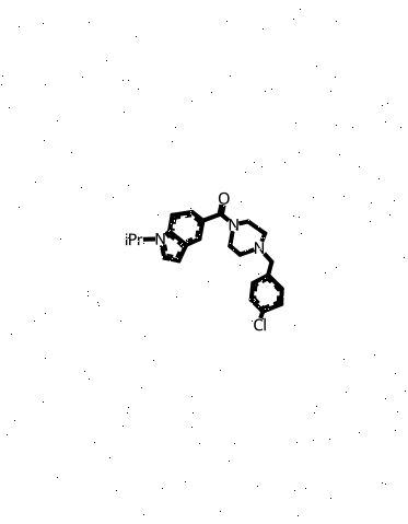 CC(C)n1ccc2cc(C(=O)N3CCN(Cc4ccc(Cl)cc4)CC3)ccc21